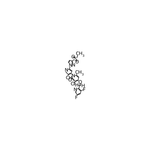 [2H]C([2H])(Oc1cc(C)n(-c2cc(-n3ccc(S(=O)(=O)CC)n3)ncc2C)c(=O)c1Cl)c1ncc(F)cc1F